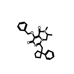 CC1Cn2c(CC3(c4ccccc4)CCCC3)nc(=O)c(OCc3ccccc3)c2C(=O)N1C